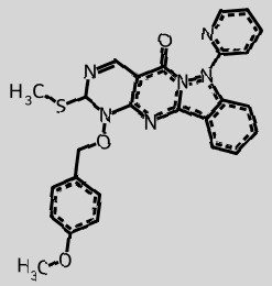 COc1ccc(CON2c3nc4c5ccccc5n(-c5ccccn5)n4c(=O)c3C=NC2SC)cc1